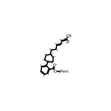 CCCC(C)OC(=O)c1ccccc1C1CCC(CC/C=C/C=C(F)C#N)CC1